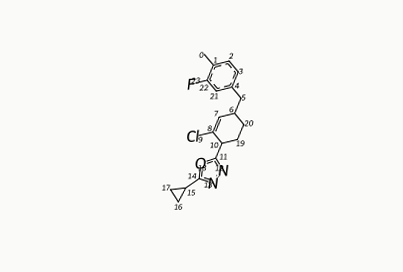 Cc1ccc(CC2C=C(Cl)C(c3nnc(C4CC4)o3)CC2)cc1F